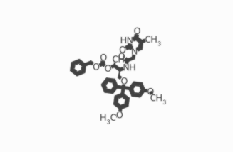 COc1ccc(C(OC[C@H](NC(=O)Cn2cc(C)c(=O)[nH]c2=O)[C@H](C)OC(=O)OCc2ccccc2)(c2ccccc2)c2ccc(OC)cc2)cc1